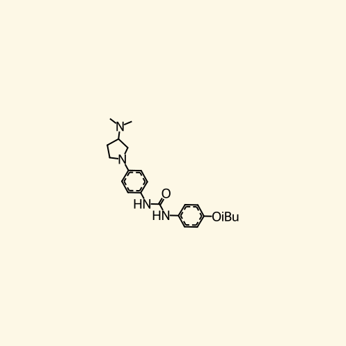 CC(C)COc1ccc(NC(=O)Nc2ccc(N3CCC(N(C)C)C3)cc2)cc1